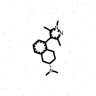 Cc1nn(C)c(C)c1-c1cccc2c1CC[C@H](N(C)C)C2